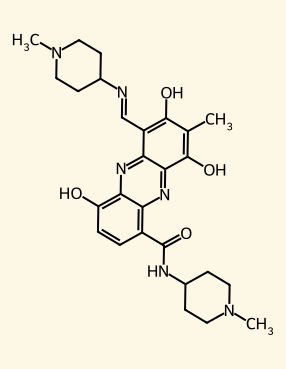 Cc1c(O)c(C=NC2CCN(C)CC2)c2nc3c(O)ccc(C(=O)NC4CCN(C)CC4)c3nc2c1O